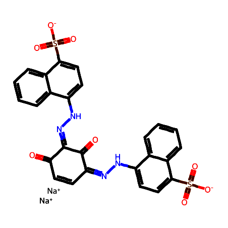 O=c1cc/c(=N/Nc2ccc(S(=O)(=O)[O-])c3ccccc23)c(=O)/c1=N\Nc1ccc(S(=O)(=O)[O-])c2ccccc12.[Na+].[Na+]